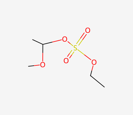 CCOS(=O)(=O)OC(C)OC